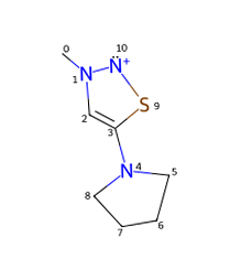 CN1C=C(N2CCCC2)S[N+]1